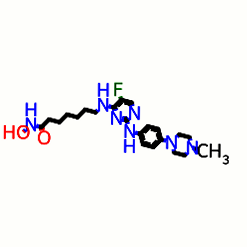 CN1CCN(c2ccc(Nc3ncc(F)c(NCCCCCCC(=O)NO)n3)cc2)CC1